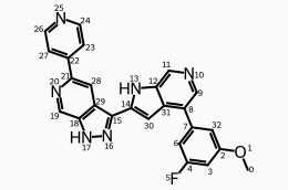 COc1cc(F)cc(-c2cncc3[nH]c(-c4n[nH]c5cnc(-c6ccncc6)cc45)cc23)c1